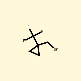 FC(F)(F)C1(CBr)CC1